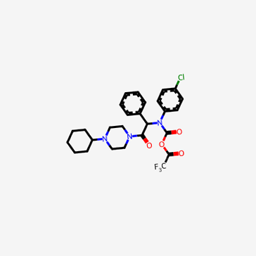 O=C(C(c1ccccc1)N(C(=O)OC(=O)C(F)(F)F)c1ccc(Cl)cc1)N1CCN(C2CCCCC2)CC1